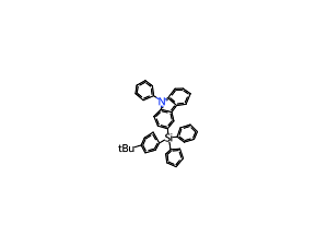 CC(C)(C)c1ccc([Si](c2ccccc2)(c2ccccc2)c2ccc3c(c2)c2ccccc2n3-c2ccccc2)cc1